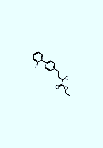 CCOC(=O)C(Cl)CCc1ccc(-c2ccccc2Cl)cc1